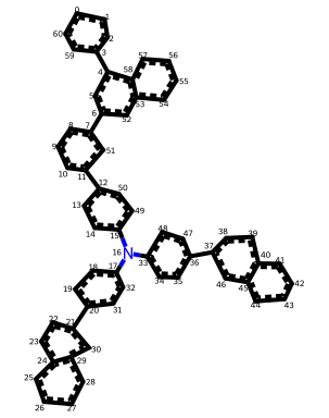 c1ccc(-c2cc(-c3cccc(-c4ccc(N(c5ccc(-c6ccc7ccccc7c6)cc5)c5ccc(-c6ccc7ccccc7c6)cc5)cc4)c3)cc3ccccc23)cc1